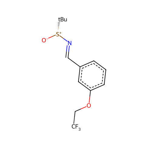 CC(C)(C)[S@@+]([O-])/N=C/c1cccc(OCC(F)(F)F)c1